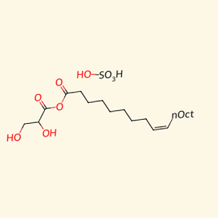 CCCCCCCC/C=C\CCCCCCCC(=O)OC(=O)C(O)CO.O=S(=O)(O)O